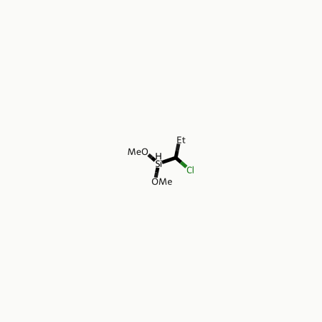 CCC(Cl)[SiH](OC)OC